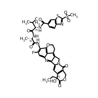 CC[C@@]1(O)C(=O)OCc2c1cc1n(c2=O)Cc2c-1nc1cc(F)c(NC(=O)[C@H](C)NC(=O)[C@@H](NC(=O)c3ccc4nc(S(C)(=O)=O)sc4c3)C(C)C)c3c1c2CCO3